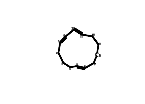 C1=C\CCC/C=C/CCCC/C=C/1